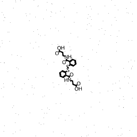 O=C(O)CCNC(=O)c1ccccc1SSc1ccccc1C(=O)NCCC(=O)O